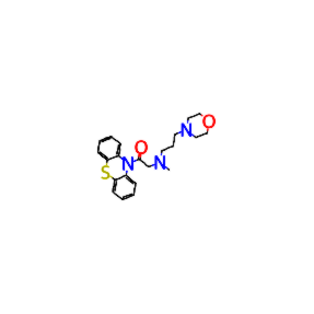 CN(CCCN1CCOCC1)CC(=O)N1c2ccccc2Sc2ccccc21